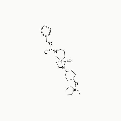 CC[Si](CC)(CC)O[C@H]1CC[C@H](N2CC[C@]3(CCCN(C(=O)OCc4ccccc4)C3)C2=O)CC1